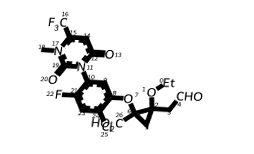 CCOC1(CC=O)CC1(Oc1cc(-n2c(=O)cc(C(F)(F)F)n(C)c2=O)c(F)cc1Cl)C(=O)O